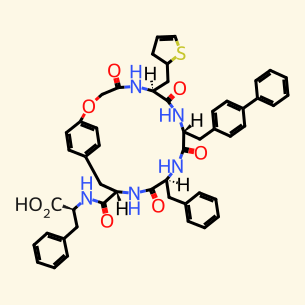 O=C1COc2ccc(cc2)C[C@@H](C(=O)N[C@@H](Cc2ccccc2)C(=O)O)NC(=O)[C@H](Cc2ccccc2)NC(=O)[C@@H](Cc2ccc(-c3ccccc3)cc2)NC(=O)[C@H](CC2CC=CS2)N1